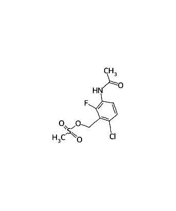 CC(=O)Nc1ccc(Cl)c(COS(C)(=O)=O)c1F